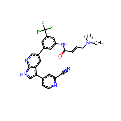 CN(C)C/C=C/C(=O)Nc1cc(-c2cnc3[nH]cc(-c4ccnc(C#N)c4)c3c2)cc(C(F)(F)F)c1